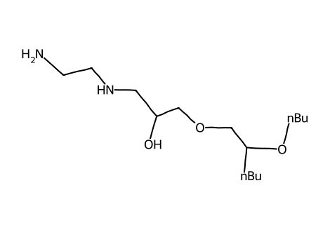 CCCCOC(CCCC)COCC(O)CNCCN